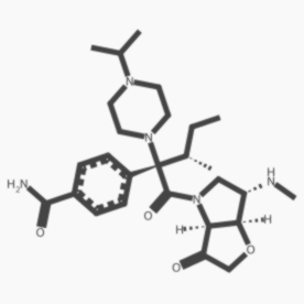 CC[C@H](C)[C@@](C(=O)N1C[C@H](NC)[C@H]2OCC(=O)[C@H]21)(c1ccc(C(N)=O)cc1)N1CCN(C(C)C)CC1